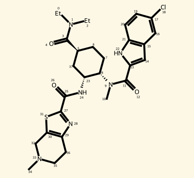 CCN(CC)C(=O)[C@H]1CC[C@H](N(C)C(=O)c2cc3cc(Cl)ccc3[nH]2)[C@H](NC(=O)c2nc3c(s2)CN(C)CC3)C1